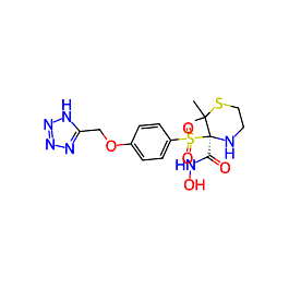 CC1(C)SCCN[C@@]1(C(=O)NO)S(=O)(=O)c1ccc(OCc2nnn[nH]2)cc1